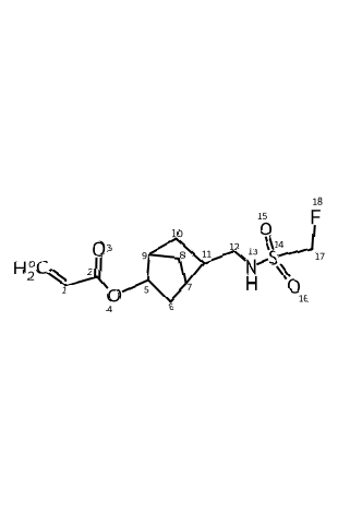 C=CC(=O)OC1CC2CC1CC2CNS(=O)(=O)CF